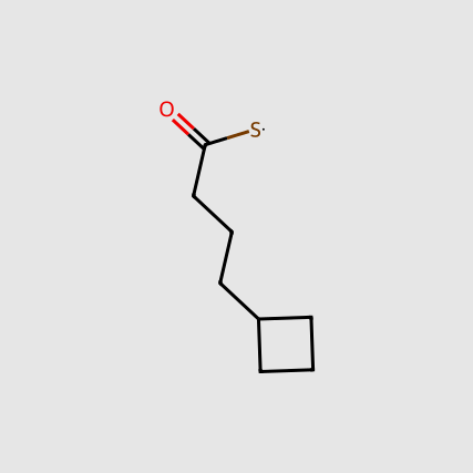 O=C([S])CCCC1CCC1